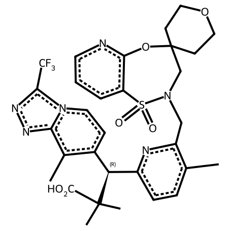 Cc1ccc([C@H](c2ccn3c(C(F)(F)F)nnc3c2C)C(C)(C)C(=O)O)nc1CN1CC2(CCOCC2)Oc2ncccc2S1(=O)=O